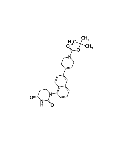 CC(C)(C)OC(=O)N1CC=C(c2ccc3c(N4CCC(=O)NC4=O)cccc3c2)CC1